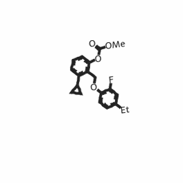 CCc1ccc(OCc2c(OC(=O)OC)cccc2C2CC2)c(F)c1